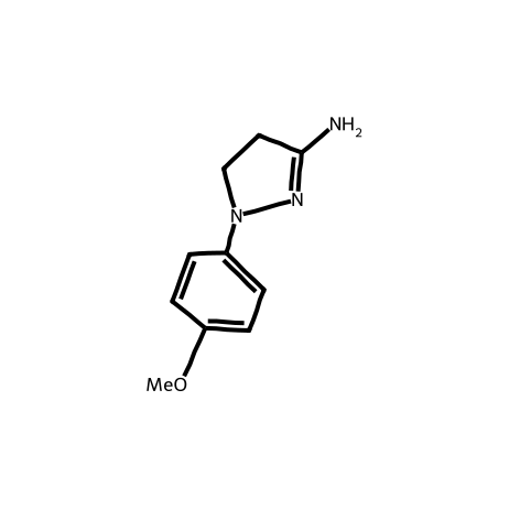 COc1ccc(N2CCC(N)=N2)cc1